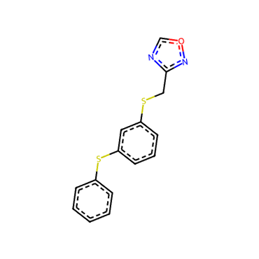 c1ccc(Sc2cccc(SCc3ncon3)c2)cc1